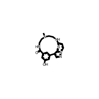 CN1CCNC(=O)c2cc(O)cc(c2)-c2cnn3ccc(nc23)NCC1